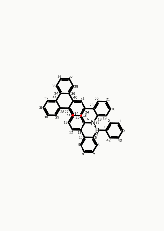 c1ccc(B2c3ccccc3-c3ccccc3N2c2ccccc2-c2ccc3c4ccccc4c4ccccc4c3c2)cc1